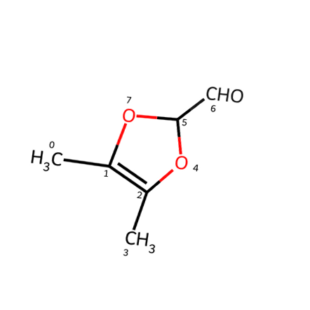 CC1=C(C)OC(C=O)O1